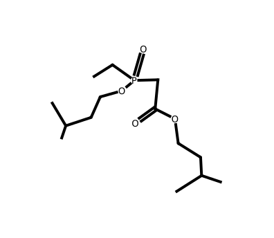 CCP(=O)(CC(=O)OCCC(C)C)OCCC(C)C